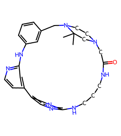 CC1(C)CN2CCN1Cc1cccc(c1)Nc1cc(ccn1)-c1cnc(nc1)NCCCNC(=O)C2